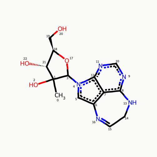 CC1(O)C(n2cc3c4c(ncnc42)NCC=N3)O[C@H](CO)[C@H]1O